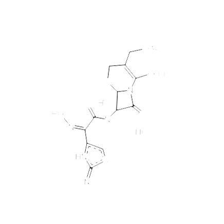 CC(=O)OCC1=C(C(=O)O)N2C(=O)C(NC(=O)/C(=N\O)c3csc(=N)[nH]3)[C@H]2SC1.Cl